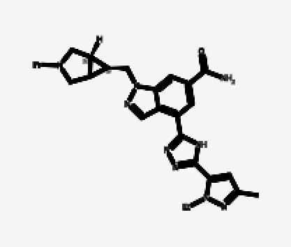 CCn1nc(C)cc1-c1nnc(-c2cc(C(N)=O)cc3c2cnn3C[C@H]2C3CN(C(C)C)C[C@@H]32)[nH]1